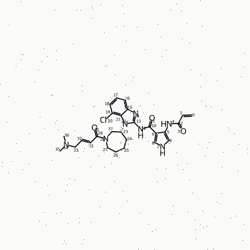 C=CC(=O)Nc1c[nH]cc1C(=O)Nc1nc2cccc(Cl)c2n1[C@@H]1CCCCN(C(=O)/C=C/CN(C)C)C1